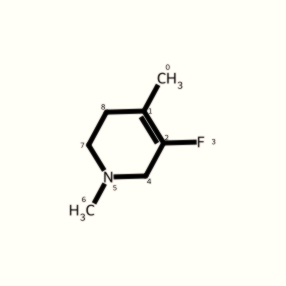 CC1=C(F)CN(C)CC1